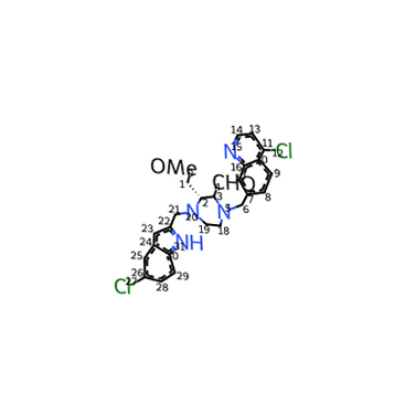 COC[C@@H]1C(C=O)N(Cc2ccc3c(Cl)ccnc3c2)CCN1Cc1cc2cc(Cl)ccc2[nH]1